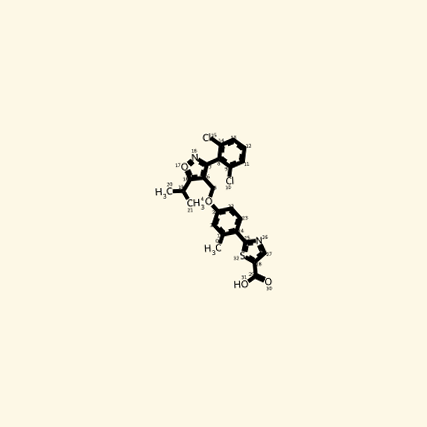 Cc1cc(OCc2c(-c3c(Cl)cccc3Cl)noc2C(C)C)ccc1-c1ncc(C(=O)O)s1